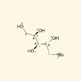 CC(C)(C)C[C@@H](O)[C@@H](O)[C@H](O)CO